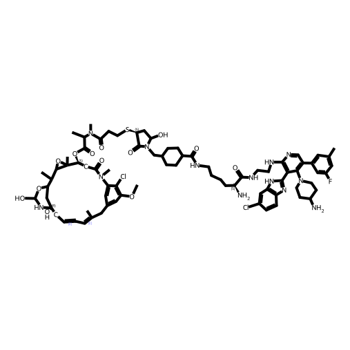 COc1cc2cc(c1Cl)N(C)C(=O)C[C@H](OC(=O)C(C)N(C)C(=O)CCS[C@H]1CC(O)N(CC3CCC(C(=O)NCCCC[C@H](N)C(=O)NCCNc4ncc(-c5cc(C)cc(F)c5)c(N5CCC(N)CC5)c4-c4nc5ccc(Cl)cc5[nH]4)CC3)C1=O)C1(C)OC1C(C)C1C[C@](O)(C/C=C/C=C(\C)C2)NC(O)O1